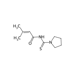 CC(C)=CC(=O)NC(=S)N1CCCC1